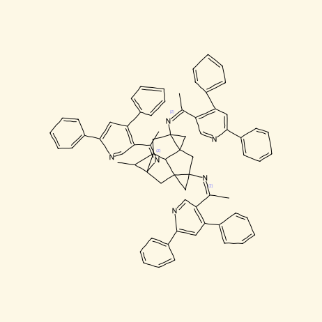 C/C(=N/C12CC13CC1(/N=C(/C)c4cnc(-c5ccccc5)cc4-c4ccccc4)CC14CC1(/N=C(/C)c5cnc(-c6ccccc6)cc5-c5ccccc5)C(C)C1(C2)C34)c1cnc(-c2ccccc2)cc1-c1ccccc1